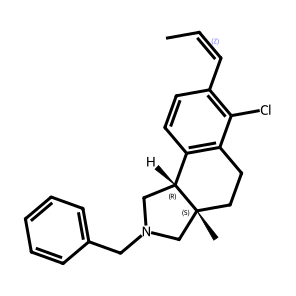 C/C=C\c1ccc2c(c1Cl)CC[C@]1(C)CN(Cc3ccccc3)C[C@H]21